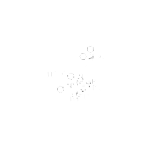 CCCCN(CCCC)C(=O)c1cn(CCOCCO[Si](c2ccccc2)(c2ccccc2)C(C)(C)C)c(-c2ccc(C(=O)O)cc2C(=O)N2Cc3ccccc3CC2CO[Si](C)(C)C(C)(C)C)n1